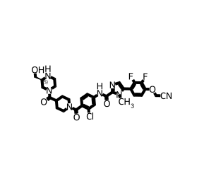 Cn1c(-c2ccc(OCC#N)c(F)c2F)cnc1C(=O)Nc1ccc(C(=O)N2CCC(C(=O)N3CCN[C@H](CO)C3)CC2)c(Cl)c1